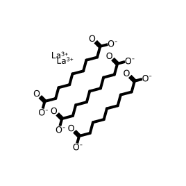 O=C([O-])CCCCCCCC(=O)[O-].O=C([O-])CCCCCCCC(=O)[O-].O=C([O-])CCCCCCCC(=O)[O-].[La+3].[La+3]